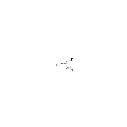 [F][Cu][F].[SiH4]